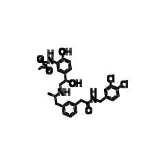 C[C@H](Cc1cccc(CC(=O)NCc2ccc(Cl)c(Cl)c2)c1)NC[C@H](O)c1ccc(O)c(NS(C)(=O)=O)c1